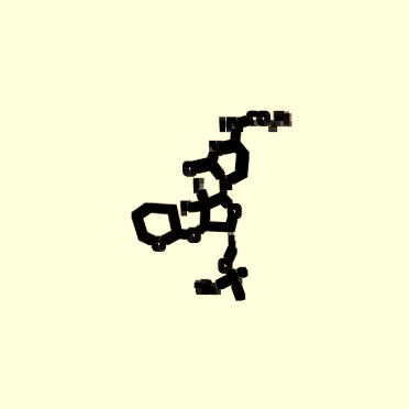 CCOC(=O)Nc1ccn([C@@H]2O[C@H](CO[Si](C)(C)C(C)(C)C)[C@@H](OC3CCCCO3)C2(F)F)c(=O)n1